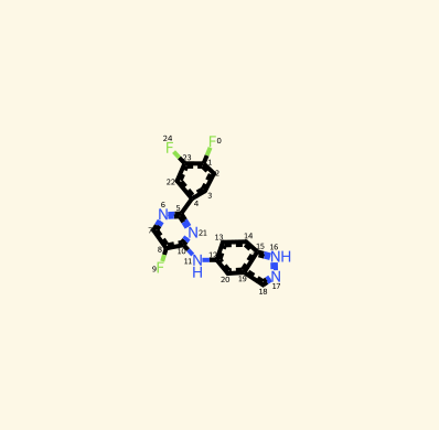 Fc1ccc(-c2ncc(F)c(Nc3ccc4[nH]ncc4c3)n2)cc1F